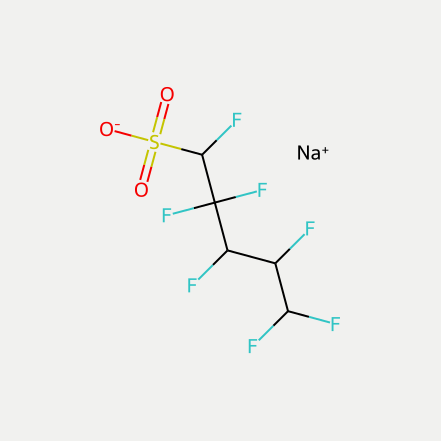 O=S(=O)([O-])C(F)C(F)(F)C(F)C(F)C(F)F.[Na+]